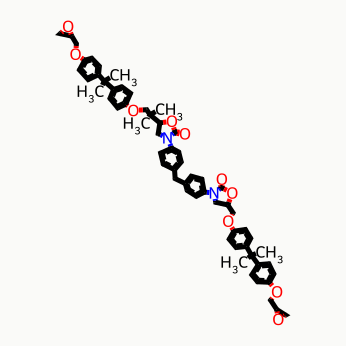 CC(C)(c1ccc(OCC2CO2)cc1)c1ccc(OCC2CN(c3ccc(Cc4ccc(N5CC(C(C)(C)COc6ccc(C(C)(C)c7ccc(OCC8CO8)cc7)cc6)OC5=O)cc4)cc3)C(=O)O2)cc1